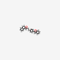 C(=Cc1cc2c(ccc3ccccc32)o1)c1ccc(-c2cc3ccccc3o2)cc1